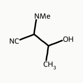 CNC(C#N)C(C)O